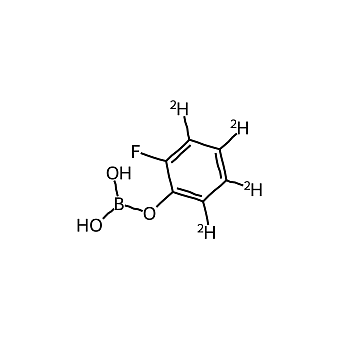 [2H]c1c([2H])c([2H])c(OB(O)O)c(F)c1[2H]